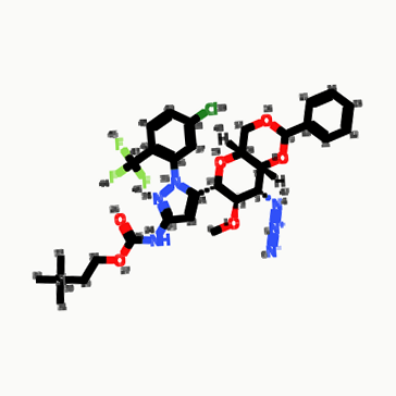 CO[C@@H]1[C@@H](N=[N+]=[N-])[C@H]2OC(c3ccccc3)OC[C@H]2O[C@H]1c1cc(NC(=O)OCC[Si](C)(C)C)nn1-c1cc(Cl)ccc1C(F)(F)F